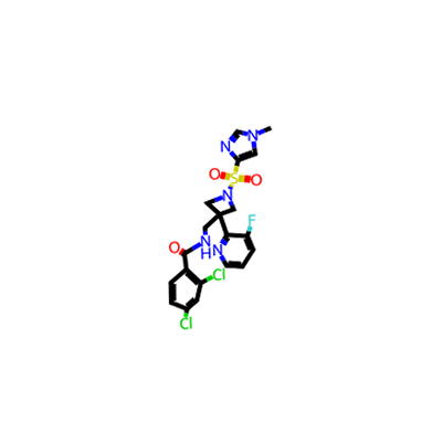 Cn1cnc(S(=O)(=O)N2CC(CNC(=O)c3ccc(Cl)cc3Cl)(c3ncccc3F)C2)c1